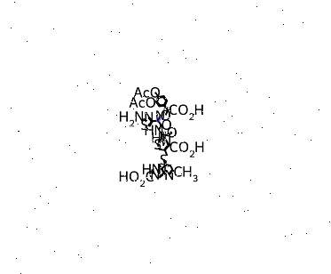 CC(=O)Oc1ccc([C@H](O/N=C(\C(=O)N[C@@H]2C(=O)N3C(C(=O)O)=C(CSC4=CC(C)=NC5=CN(C(=O)O)NN54)CS[C@H]23)c2csc(N)n2)C(=O)O)cc1OC(C)=O